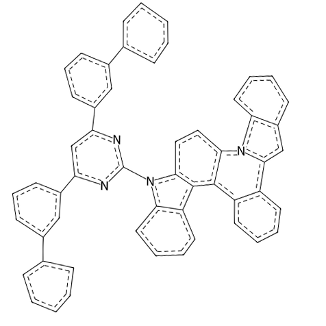 c1ccc(-c2cccc(-c3cc(-c4cccc(-c5ccccc5)c4)nc(-n4c5ccccc5c5c6c7ccccc7c7cc8ccccc8n7c6ccc54)n3)c2)cc1